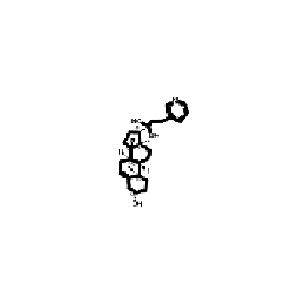 C[C@]12CC[C@H]3[C@@H](CC=C4C[C@@H](O)CC[C@@]43C)[C@@H]1CC[C@@H]2C(O)(O)CCc1cccnc1